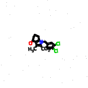 Cc1c2c(n(Cc3ccc(Cl)c(Cl)c3)c1C(=O)O)CCCC2=O